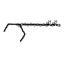 CCCCCCCC/C=C\CCCCCCCCOCC(COCCOCCOCCOCCOCCOCCOCCOCCOC(=O)CNCCOC(=O)CNCCOC)OCCCCCCCC/C=C\CCCCCCCC